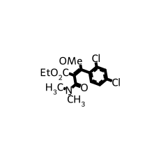 CCOC(=O)C(C(=O)N(C)C)=C(OC)c1ccc(Cl)cc1Cl